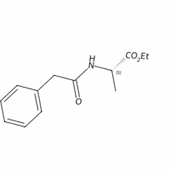 CCOC(=O)[C@H](C)NC(=O)Cc1ccccc1